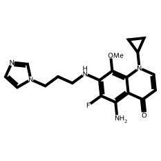 COc1c(NCCCn2ccnc2)c(F)c(N)c2c(=O)ccn(C3CC3)c12